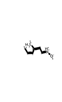 CC(/C=C\I)=C/C=[NH+]/[O-]